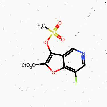 CCOC(=O)c1oc2c(F)cncc2c1OS(=O)(=O)C(F)(F)F